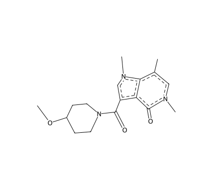 COC1CCN(C(=O)c2cn(C)c3c(C)cn(C)c(=O)c23)CC1